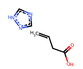 C=CCC(=O)O.c1nc[nH]n1